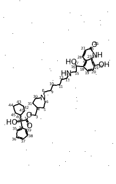 O=C(OCC1CCN(CCCCCCNC[C@@H](O)c2ccc(O)c3[nH]c(=O)ccc23)CC1)C(O)(c1ccccc1)C1CCCCC1